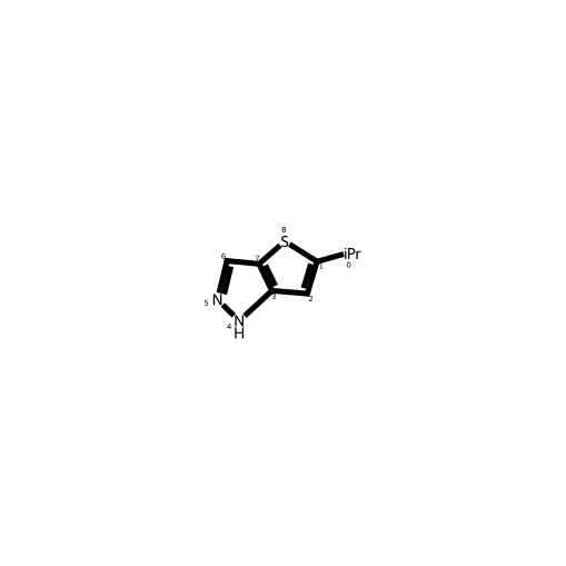 CC(C)c1cc2[nH]ncc2s1